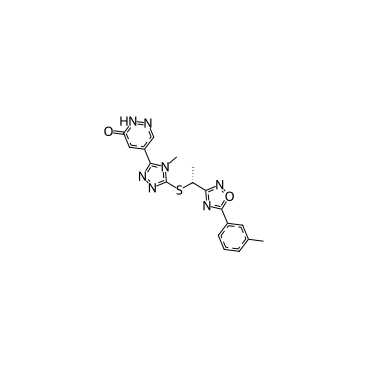 Cc1cccc(-c2nc([C@@H](C)Sc3nnc(-c4cn[nH]c(=O)c4)n3C)no2)c1